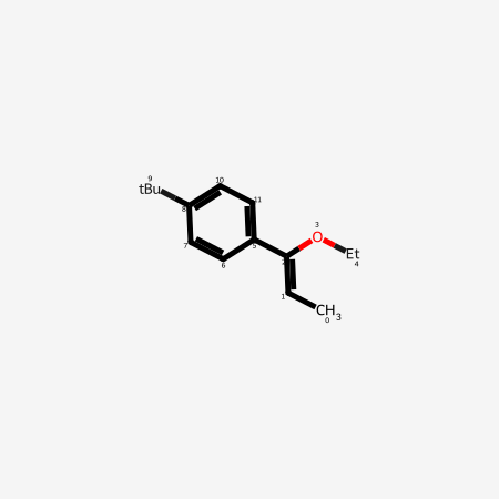 CC=C(OCC)c1ccc(C(C)(C)C)cc1